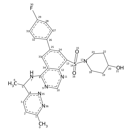 Cc1ccc(C(C)Nc2ncnc3c(S(=O)(=O)N4CCC(O)CC4)cc(-c4ccc(F)cc4)cc23)nn1